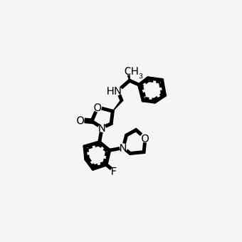 C[C@H](NC[C@H]1CN(c2cccc(F)c2N2CCOCC2)C(=O)O1)c1ccccc1